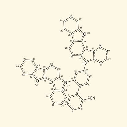 N#Cc1ccccc1-c1ccc(-n2c3ccccc3c3c4oc5ccccc5c4ccc32)cc1-n1c2ccccc2c2c3oc4ccccc4c3ccc21